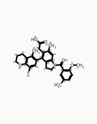 COc1ccc(C)cc1C(=O)N1CCc2c1cc(C)c(CC(=O)O)c2-c1cc(F)c2c(c1C)CCCO2